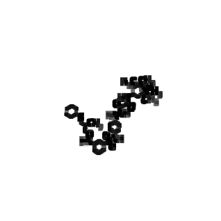 C/C(=C\ONc1cccc(S(=O)(=O)Nc2ccc(NNC(=O)C(=O)NC3CC(C)(C)NC(C)(C)C3)cc2)c1)CSC1CCCCC1